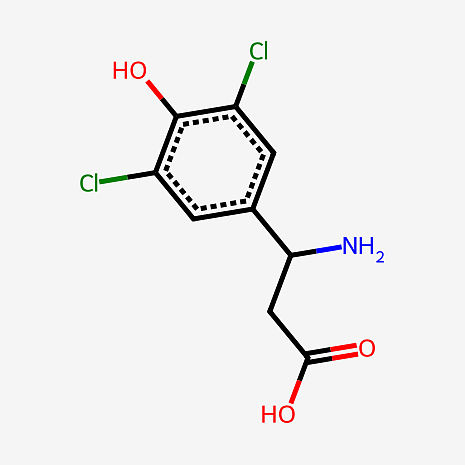 NC(CC(=O)O)c1cc(Cl)c(O)c(Cl)c1